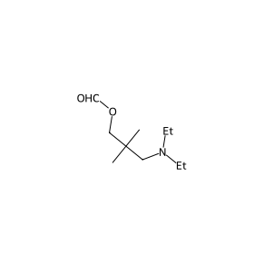 CCN(CC)CC(C)(C)COC=O